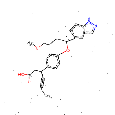 CC#CC(CC(=O)O)c1ccc(OC(CCCOC)c2ccc3[nH]ncc3c2)cc1